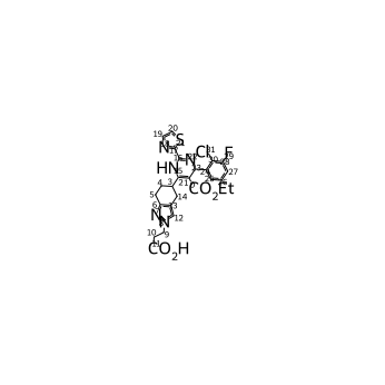 CCOC(=O)C1=C(C2CCc3nn(CCC(=O)O)cc3C2)NC(c2nccs2)=NC1c1cccc(F)c1Cl